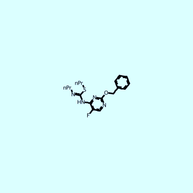 CCC/N=C(/Nc1nc(OCc2ccccc2)ncc1F)SCCC